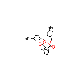 CCCC1CCC(COC(=O)C2C3CCC(C)(C3)C2C(=O)OCC2CCC(CCC)CC2)CC1